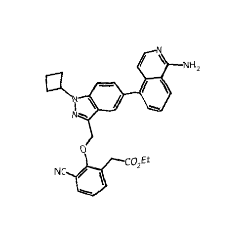 CCOC(=O)Cc1cccc(C#N)c1OCc1nn(C2CCC2)c2ccc(-c3cccc4c(N)nccc34)cc12